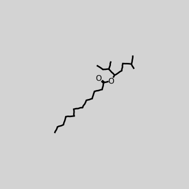 CCCCCCCCCCCC(=O)OC(CCC(C)C)C(C)CC